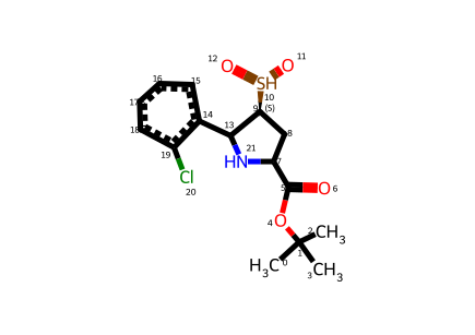 CC(C)(C)OC(=O)C1C[C@H]([SH](=O)=O)C(c2ccccc2Cl)N1